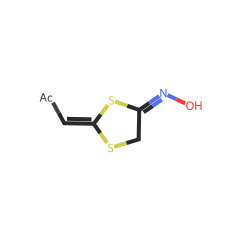 CC(=O)C=C1SCC(=NO)S1